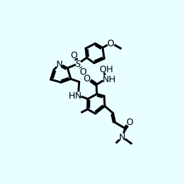 COc1ccc(S(=O)(=O)c2ncccc2CNc2c(C)cc(/C=C/C(=O)N(C)C)cc2C(=O)NO)cc1